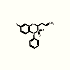 C=CCC1Oc2cc(F)ccc2N(c2ccccc2)S1(=O)=O